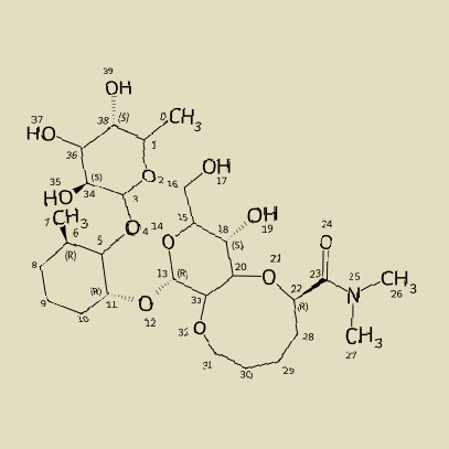 CC1OC(OC2[C@H](C)CCC[C@H]2O[C@@H]2OC(CO)[C@H](O)C3O[C@@H](C(=O)N(C)C)CCCCOC32)[C@@H](O)C(O)[C@@H]1O